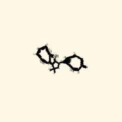 CC1=CCC=C(C2CC(C)(C)c3c2[nH]c2ccccc32)C=C1